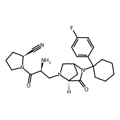 N#C[C@@H]1CCCN1C(=O)[C@@H](N)CN1CC2C[C@H]1C(=O)N2C1(c2ccc(F)cc2)CCCCC1